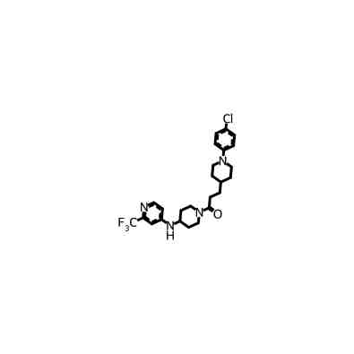 O=C(CCC1CCN(c2ccc(Cl)cc2)CC1)N1CCC(Nc2ccnc(C(F)(F)F)c2)CC1